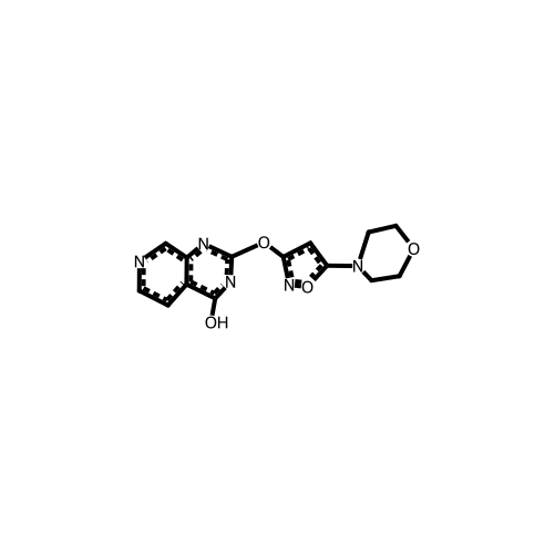 Oc1nc(Oc2cc(N3CCOCC3)on2)nc2cnccc12